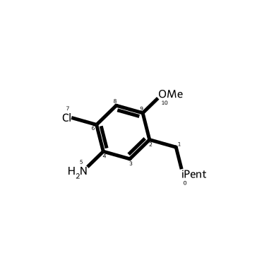 CCCC(C)Cc1cc(N)c(Cl)cc1OC